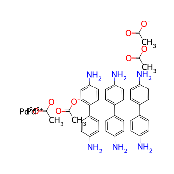 CC(=O)[O-].CC(=O)[O-].CC(=O)[O-].CC(=O)[O-].Nc1ccc(-c2ccc(N)cc2)cc1.Nc1ccc(-c2ccc(N)cc2)cc1.Nc1ccc(-c2ccc(N)cc2)cc1.[Pd+2].[Pd+2]